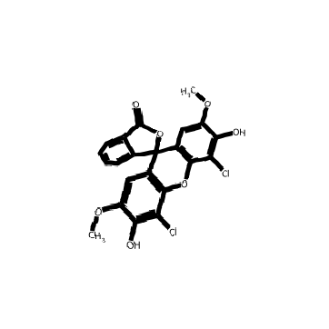 COc1cc2c(c(Cl)c1O)Oc1c(cc(OC)c(O)c1Cl)C21OC(=O)c2ccccc21